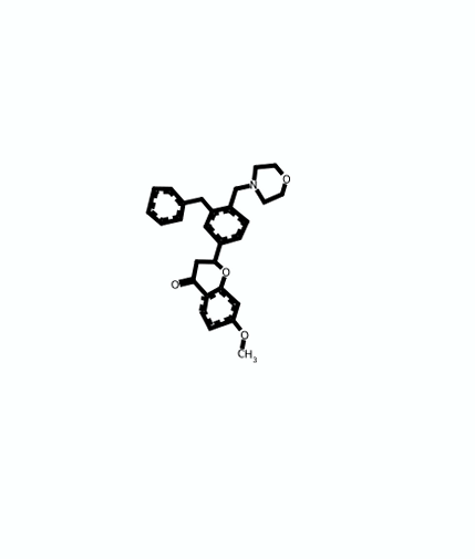 COc1ccc2c(c1)OC(c1ccc(CN3CCOCC3)c(Cc3ccccc3)c1)CC2=O